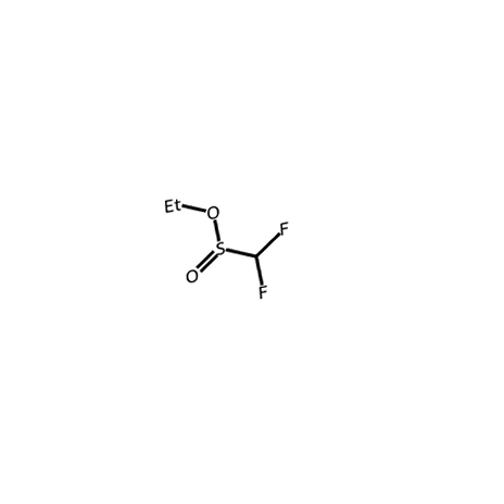 CCOS(=O)C(F)F